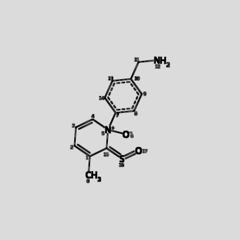 CC1=CC=C[N+]([O-])(c2ccc(CN)cc2)C1=S=O